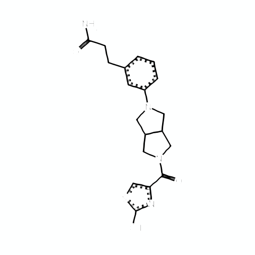 Cc1nc(C(=O)N2CC3CN(c4cccc(CCC(N)=O)c4)CC3C2)cs1